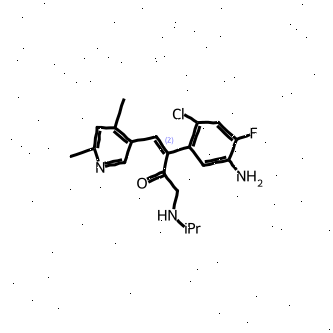 Cc1cc(C)c(/C=C(\C(=O)CNC(C)C)c2cc(N)c(F)cc2Cl)cn1